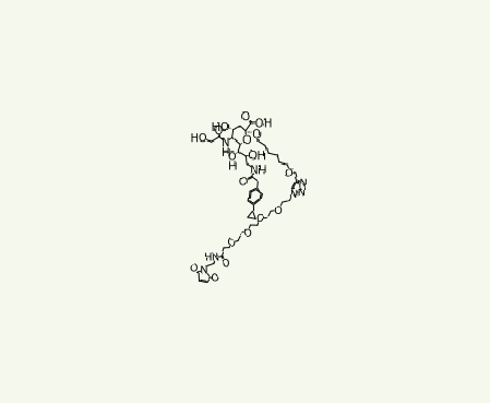 O=C(CCOCCOCCOCCOCCn1cc(COCCCCCCO[C@@]2(C(=O)O)C[C@@H](O)[C@H](NC(=O)CO)[C@@H]([C@@H](O)[C@@H](O)CNC(=O)Cc3ccc(C4CC4)cc3)O2)nn1)NCCN1C(=O)C=CC1=O